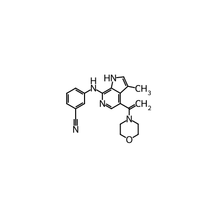 C=C(c1cnc(Nc2cccc(C#N)c2)c2[nH]cc(C)c12)N1CCOCC1